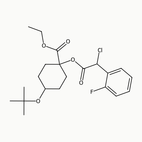 CCOC(=O)C1(OC(=O)C(Cl)c2ccccc2F)CCC(OC(C)(C)C)CC1